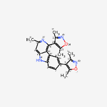 Cc1cc2[nH]c3ccc(-c4c(C)noc4C)cc3c2c(-c2c(C)noc2C)n1